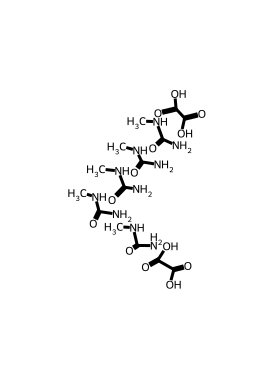 CNC(N)=O.CNC(N)=O.CNC(N)=O.CNC(N)=O.CNC(N)=O.O=C(O)C(=O)O.O=C(O)C(=O)O